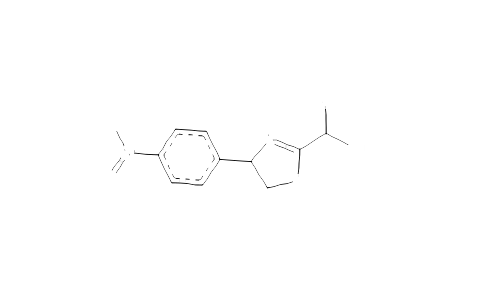 CC(C)C1=NC(c2ccc([N+](=O)[O-])cc2)CS1